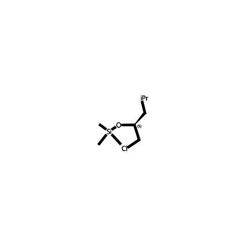 CC(C)C[C@@H](CCl)O[Si](C)(C)C